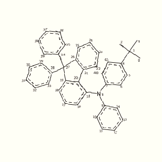 CC(C)(C)c1ccc(N(c2ccccc2)c2cccc3c2-c2ccccc2C3(c2ccccc2)c2ccccc2)cc1